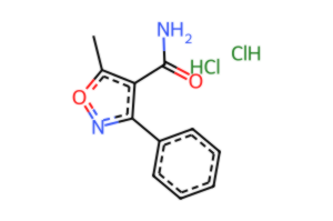 Cc1onc(-c2ccccc2)c1C(N)=O.Cl.Cl